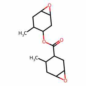 CC1CC2OC2CC1OC(=O)C1CC2OC2CC1C